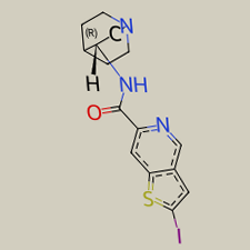 O=C(N[C@H]1CN2CCC1CC2)c1cc2sc(I)cc2cn1